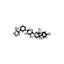 CC(C)C(NC(=O)[C@@H]1CCC[C@H](c2nnnn2C)C1)C(=O)N1CCC(O)(c2ccc(Cl)cc2)C(C)(C)C1